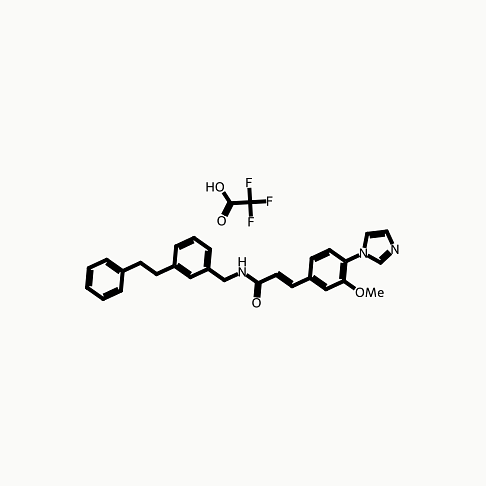 COc1cc(/C=C/C(=O)NCc2cccc(CCc3ccccc3)c2)ccc1-n1ccnc1.O=C(O)C(F)(F)F